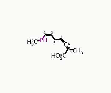 CP/C=C\CC=C=C(C)C(=O)O